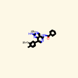 COc1cc(-c2cnc(NC(=O)c3ccccc3)c3cnc(NC(C)(C)C)nc23)ccc1C